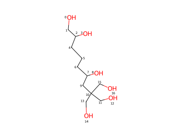 OCC(O)CCCC(O)CC(CO)(CO)CO